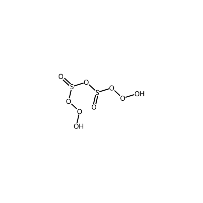 O=S(OOO)OS(=O)OOO